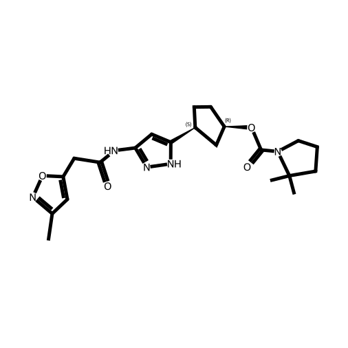 Cc1cc(CC(=O)Nc2cc([C@H]3CC[C@@H](OC(=O)N4CCCC4(C)C)C3)[nH]n2)on1